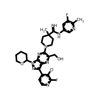 Cc1ncc(NC(=N)C2(C)CCN(c3nc4c(nc3CO)c(-c3ccnc(F)c3Cl)nn4C3CCCCO3)CC2)cc1F